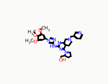 COc1cc(-n2cnc(Nc3nc4c(c(N5CCCC5CO)n3)CCN(Cc3cccnc3)C4)c2)cc(OC)c1OC